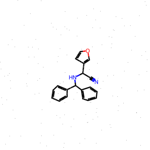 N#CC(NC(c1ccccc1)c1ccccc1)c1ccoc1